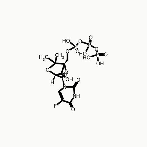 CC1(C)O[C@H]2[C@H](n3cc(F)c(=O)[nH]c3=O)O[C@]1(COP(=O)(O)OP(=O)(O)OP(=O)(O)O)[C@H]2O